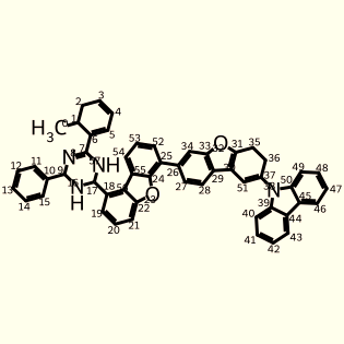 CC1CC=CC=C1C1=NC(c2ccccc2)NC(c2cccc3oc4c(-c5ccc6c7c(oc6c5)CCC(n5c6ccccc6c6ccccc65)=C7)cccc4c23)N1